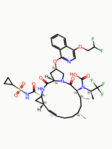 C[C@@H]1CC/C=C\[C@@H]2C[C@@]2(C(=O)NS(=O)(=O)C2CC2)NC(=O)[C@@H]2C[C@@H](Oc3ncc(OCC(F)F)c4ccccc34)CN2C(=O)[C@@H](N(C(=O)O)[C@H](C)C(F)(F)F)[C@H](C)C1